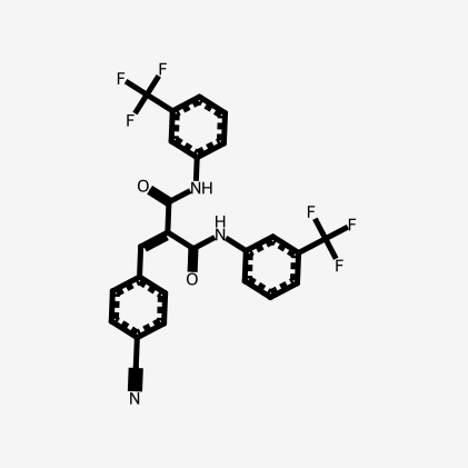 N#Cc1ccc(C=C(C(=O)Nc2cccc(C(F)(F)F)c2)C(=O)Nc2cccc(C(F)(F)F)c2)cc1